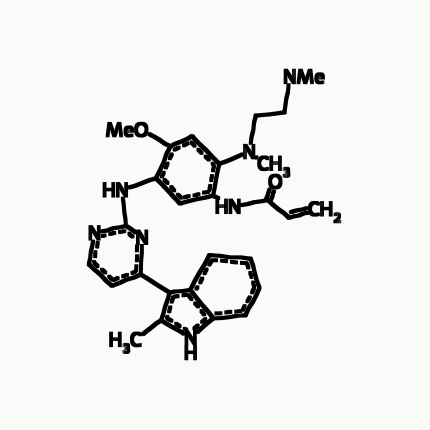 C=CC(=O)Nc1cc(Nc2nccc(-c3c(C)[nH]c4ccccc34)n2)c(OC)cc1N(C)CCNC